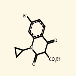 CCOC(=O)C1C(=O)c2ccc(Br)cc2N(C2CC2)C1=O